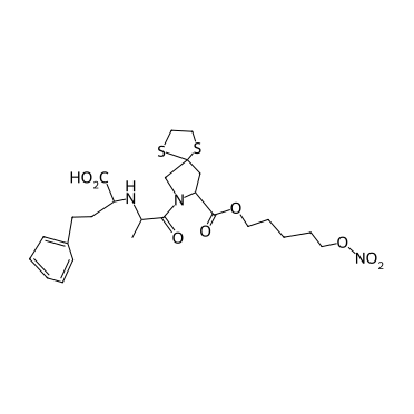 CC(NC(CCc1ccccc1)C(=O)O)C(=O)N1CC2(CC1C(=O)OCCCCCO[N+](=O)[O-])SCCS2